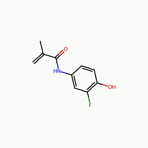 C=C(C)C(=O)Nc1ccc(O)c(F)c1